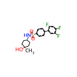 C[C@]1(O)CC[C@@H](NS(=O)(=O)c2ccc(-c3cc(F)c(F)cc3F)cc2)CC1